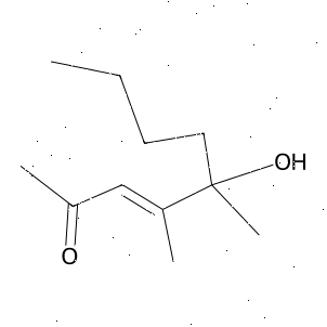 CCCCC(C)(O)C(C)=CC(C)=O